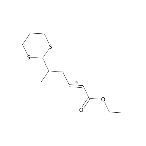 CCOC(=O)/C=C/CC(C)C1SCCCS1